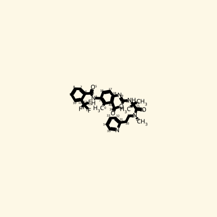 Cc1c(NC(=O)c2ccccc2C(F)(F)F)ccc2nc(NC(C)(C)C(=O)N(C)CCc3ccccn3)oc(=O)c12